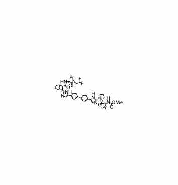 COC(=O)N[C@H](C(=O)N1CCC[C@H]1c1ncc(-c2ccc(-c3ccc(-c4cnc([C@@H]5C6CCC(C6)C5C(=O)N[C@@H](C(=O)NCC(F)F)C(C)C)[nH]4)cc3)cc2)[nH]1)C(C)C